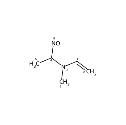 C=CN(C)C(C)N=O